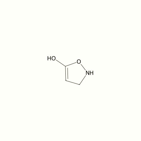 OC1=CCNO1